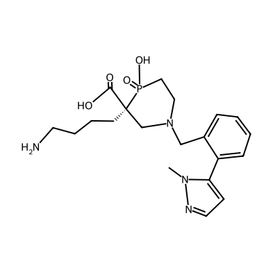 Cn1nccc1-c1ccccc1CN1CCP(=O)(O)[C@](CCCCN)(C(=O)O)C1